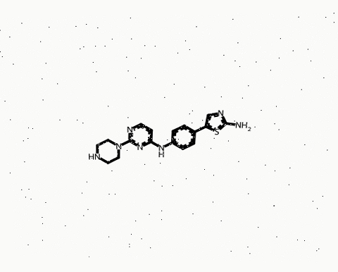 Nc1ncc(-c2ccc(Nc3ccnc(N4CCNCC4)n3)cc2)s1